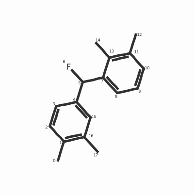 Cc1ccc(C(F)c2cccc(C)c2C)cc1C